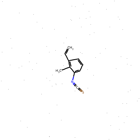 C=Cc1cccc(N=C=S)c1C